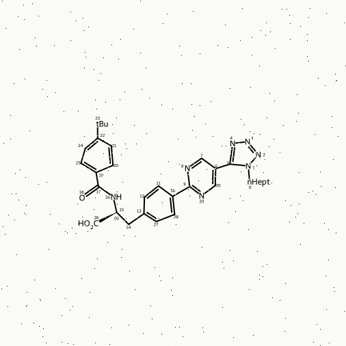 CCCCCCCn1nnnc1-c1cnc(-c2ccc(C[C@H](NC(=O)c3ccc(C(C)(C)C)cc3)C(=O)O)cc2)nc1